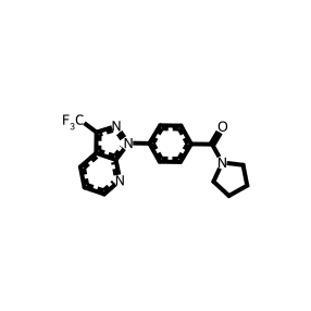 O=C(c1ccc(-n2nc(C(F)(F)F)c3cccnc32)cc1)N1CCCC1